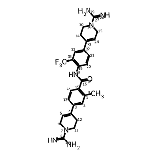 Cc1cc(C2=CCN(C(=N)N)CC2)ccc1C(=O)Nc1ccc(C2=CCN(C(=N)N)CC2)cc1C(F)(F)F